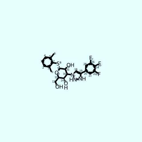 Cc1cccc(C)c1S[C@H]1OC(CO)[C@H](O)C(N2C=C(c3cc(F)c(F)c(F)c3)NN2)C1O